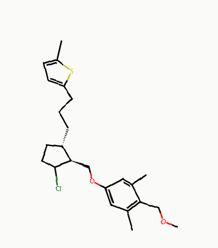 COCc1c(C)cc(OC[C@H]2C(Cl)CC[C@@H]2CCCc2ccc(C)s2)cc1C